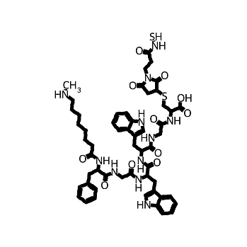 CNCCCCCCCC(=O)NC(Cc1ccccc1)C(=O)NCC(=O)NC(Cc1c[nH]c2ccccc12)C(=O)NC(Cc1c[nH]c2ccccc12)C(=O)NCC(=O)NC(CSC1CC(=O)N(CCC(=O)NS)C1=O)C(=O)O